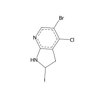 Clc1c(Br)cnc2c1CC(I)N2